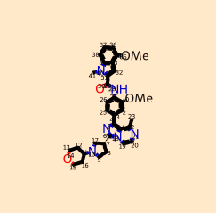 COc1cc(-c2nc([C@@H]3CCN(C4CCOCC4)C3)n3ccnc(C)c23)ccc1NC(=O)c1cc2c(OC)cccc2n1C